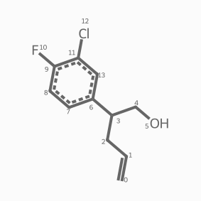 C=CCC(CO)c1ccc(F)c(Cl)c1